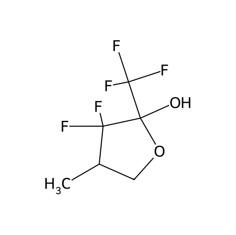 CC1COC(O)(C(F)(F)F)C1(F)F